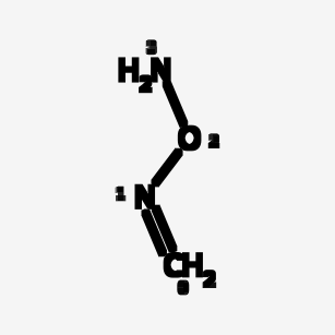 C=NON